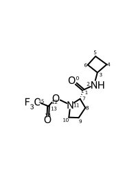 O=C(NC1CCC1)[C@@H]1CCCN1OC(=O)C(F)(F)F